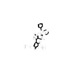 Cn1nc(-c2cc(C(F)(F)F)c(F)c(O)c2F)c2cnc(N3CCOC[C@H]3Cc3ccccc3)nc21